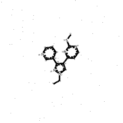 CCn1cc(-c2ccnc(SC)n2)c(-c2cccnc2)n1